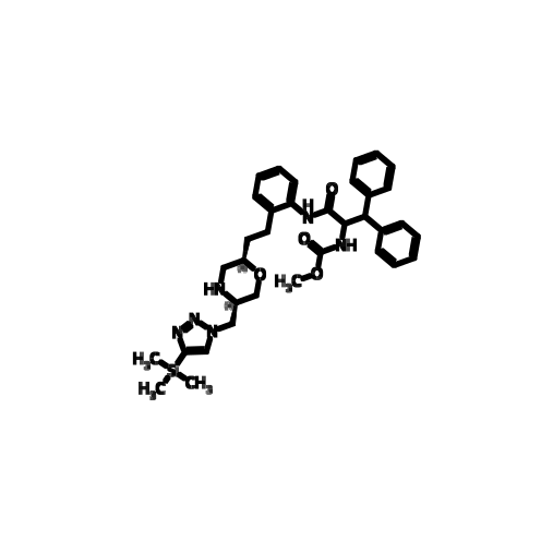 COC(=O)NC(C(=O)Nc1ccccc1CC[C@@H]1CN[C@H](Cn2cc([Si](C)(C)C)nn2)CO1)C(c1ccccc1)c1ccccc1